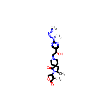 C=N/N=N\N(C)c1ncc([C@@H](O)CN2CCC3(CC2)CC(C)N(C2=C(C)C(=O)OC2)C3=O)cn1